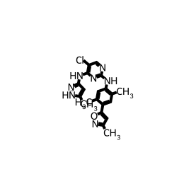 Cc1cc(-c2cc(C)c(Nc3ncc(Cl)c(Nc4cc(C)[nH]n4)n3)cc2C)on1